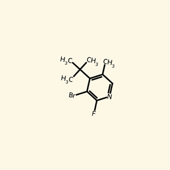 Cc1cnc(F)c(Br)c1C(C)(C)C